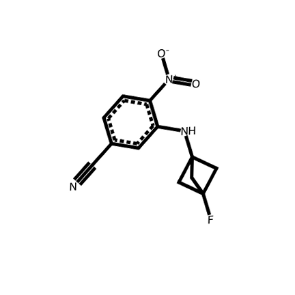 N#Cc1ccc([N+](=O)[O-])c(NC23CC(F)(C2)C3)c1